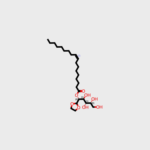 CCCCCCCC/C=C\CCCCCCCC(=O)O[C@@H](C1OCCO1)[C@@H](O)[C@@H](O)[C@H](O)CO